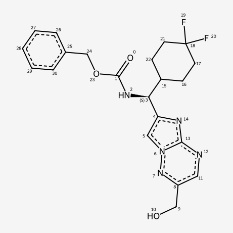 O=C(N[C@H](c1cn2nc(CO)cnc2n1)C1CCC(F)(F)CC1)OCc1ccccc1